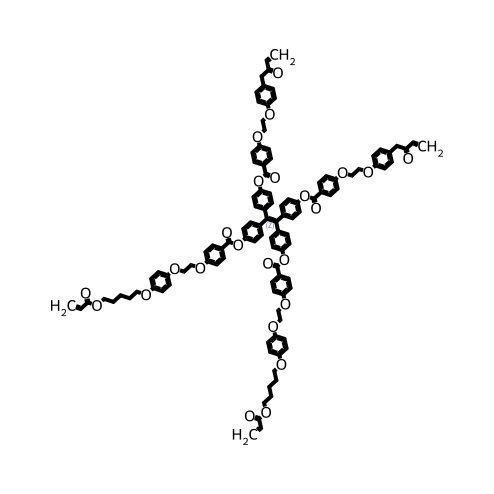 C=CC(=O)Cc1ccc(OCCOc2ccc(C(=O)Oc3ccc(/C(=C(\c4ccc(OC(=O)c5ccc(OCCOc6ccc(CC(=O)C=C)cc6)cc5)cc4)c4ccc(OC(=O)c5ccc(OCCOc6ccc(OCCCCCOC(=O)C=C)cc6)cc5)cc4)c4ccc(OC(=O)c5ccc(OCCOc6ccc(OCCCCCOC(=O)C=C)cc6)cc5)cc4)cc3)cc2)cc1